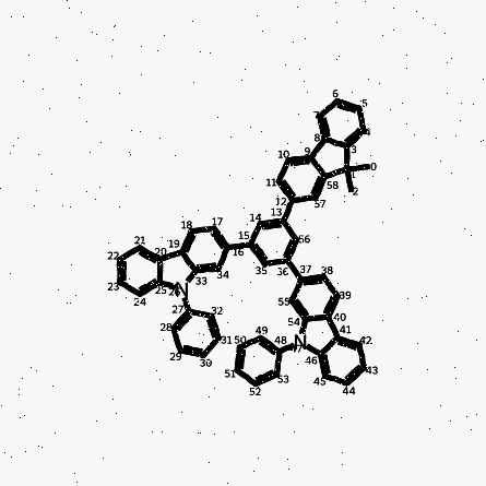 CC1(C)c2ccccc2-c2ccc(-c3cc(-c4ccc5c6ccccc6n(-c6ccccc6)c5c4)cc(-c4ccc5c6ccccc6n(-c6ccccc6)c5c4)c3)cc21